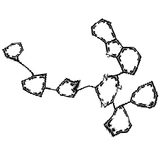 c1ccc(-c2cccc(-c3ccc(-c4nc(-c5ccccc5-c5ccccc5)nc(-c5cccc6c5sc5ccccc56)n4)cc3)c2)cc1